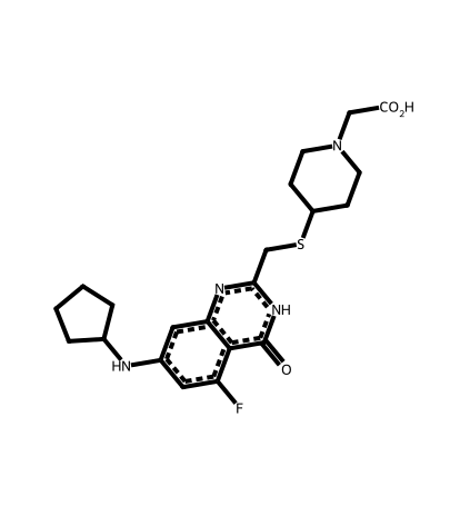 O=C(O)CN1CCC(SCc2nc3cc(NC4CCCC4)cc(F)c3c(=O)[nH]2)CC1